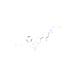 CC(C)(C)O/N=C1/C=C2CC[C@@H]3C(=C2CC1)CC[C@@]1(C)[C@H]3CC[C@]1(CC#N)c1ccccc1C(=O)O